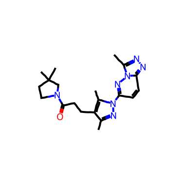 Cc1nn(-c2ccc3nnc(C)n3n2)c(C)c1CCC(=O)N1CCC(C)(C)C1